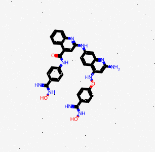 N=C(NO)c1ccc(NC(=O)c2cc(Nc3ccc4c(NOc5ccc(C(=N)NO)cc5)cc(N)nc4c3)nc3ccccc23)cc1